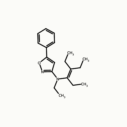 CCC(CC)=C(CC)N(CC)c1cc(-c2ccccc2)on1